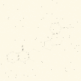 COc1cc2c(c(OC)c1C)OC[C@H]1CN(CCc3c(C)nc4ccccn4c3=O)C[C@H]21